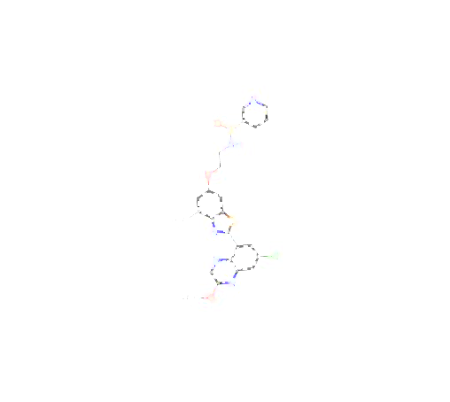 COc1cnc2c(-c3nc4c(C)cc(OCCN[S+]([O-])c5cccnc5)cc4s3)cc(Cl)cc2n1